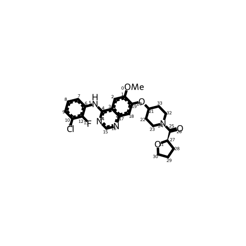 COc1cc2c(Nc3cccc(Cl)c3F)ncnc2cc1OC1CCN(C(=O)[C@H]2CCCO2)CC1